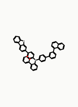 c1ccc(-c2ccccc2N(c2ccc(-c3cccc(-c4cccc5ccccc45)c3)cc2)c2ccc(-c3ccc4c(c3)oc3ccccc34)cc2)cc1